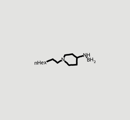 BNC1CCN(CCCCCCCC)CC1